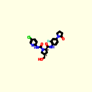 O=C(Nc1ccc(N2CCCC2=O)cc1F)[C@H]1C[C@@H](CO)CN1C(=O)Nc1ccc(Cl)cn1